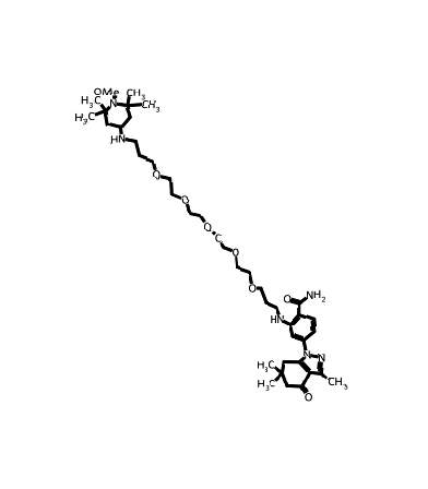 CON1C(C)(C)CC(NCCCOCCOCCOCCOCCOCCCNc2cc(-n3nc(C)c4c3CC(C)(C)CC4=O)ccc2C(N)=O)CC1(C)C